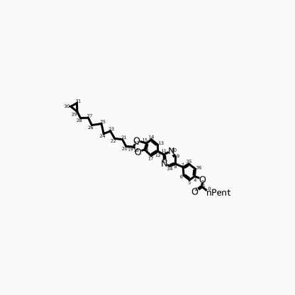 CCCCCC(=O)Oc1ccc(-c2cnc(-c3ccc4c(c3)OC(CCCCCCCCCC3CC3)O4)nc2)cc1